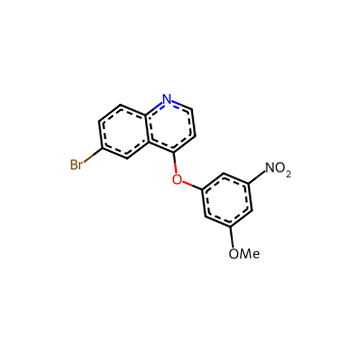 COc1cc(Oc2ccnc3ccc(Br)cc23)cc([N+](=O)[O-])c1